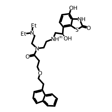 CCN(CC)CCN(CCNC[C@H](O)c1ccc(O)c2[nH]c(=O)sc12)C(=O)CCOCCc1cccc2ccccc12